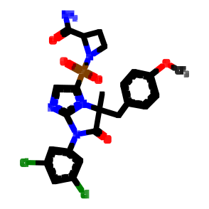 CC1(Cc2ccc(OC(F)(F)F)cc2)C(=O)N(c2cc(Cl)cc(Cl)c2)c2ncc(S(=O)(=O)N3CCC3C(N)=O)n21